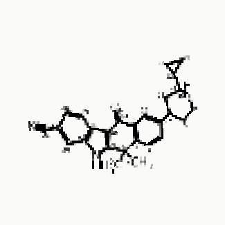 CC1(C)c2ccc(C3CCNC(C4CC4)C3)cc2C(=O)c2c1[nH]c1cc(C#N)ccc21